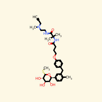 C#CCN(C)CCNC(=O)C(C)(C)NC(=O)CCCOc1ccc(Cc2cc([C@@H]3O[C@H](SC)[C@@H](O)[C@H](O)[C@H]3O)ccc2C)cc1